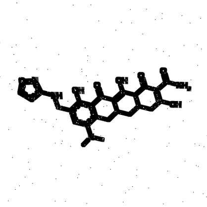 CN(C)c1cc(CNc2ccon2)c(O)c2c1CC1CC3CC(O)=C(C(N)=O)C(=O)C3C(O)=C1C2=O